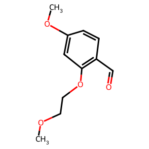 COCCOc1cc(OC)ccc1C=O